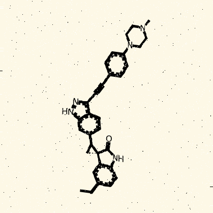 CCc1ccc2c(c1)[C@]1(CC1c1ccc3c(C#Cc4ccc(N5CCN(C)CC5)cc4)n[nH]c3c1)C(=O)N2